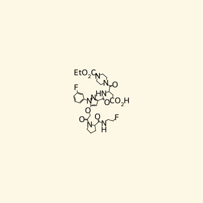 CCOC(=O)N1CCN(C(=O)C(CC(=O)O)NC(=O)c2cc(OCC(=O)N3CCCC3C(=O)NCCF)n(-c3cccc(F)c3)n2)CC1